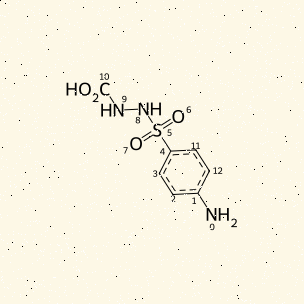 Nc1ccc(S(=O)(=O)NNC(=O)O)cc1